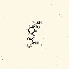 C[C@H](N)C(=O)Oc1cccc(S(C)(=O)=O)c1